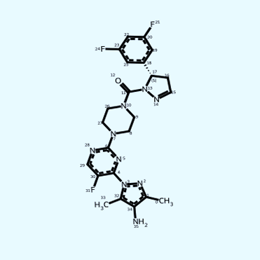 Cc1nn(-c2nc(N3CCN(C(=O)N4N=CC[C@H]4c4cc(F)cc(F)c4)CC3)ncc2F)c(C)c1N